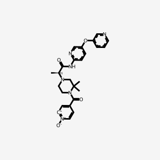 C[C@@H](C(=O)Nc1ccc(Oc2cccnc2)cn1)N1CCN(C(=O)C2=C[C+]=[N+]([O-])C=C2)C(C)(C)C1